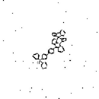 O=P(c1ccccc1)(c1ccccc1)c1ccc(-c2ccc(-c3c4ccccc4c4c5c(cccc35)C3(c5ccccc5-c5ccccc53)c3ccccc3-4)cc2)cc1